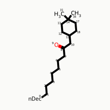 CCCCCCCCCCCCCCCCCC(=O)CC1CCC(C)(C)CC1